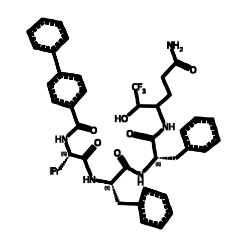 CC(C)[C@H](NC(=O)c1ccc(-c2ccccc2)cc1)C(=O)N[C@@H](Cc1ccccc1)C(=O)N[C@@H](Cc1ccccc1)C(=O)NC(CCC(N)=O)C(O)C(F)(F)F